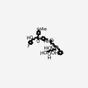 COc1ccc(C2C(CCC(O)c3ccc(F)cc3)C(=O)N2c2ccc(CNC(=O)CCCCN(Cc3ccccc3)CC(O)C(O)C(O)C(O)CO)cc2)cc1